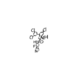 CN1CCCN(c2ccc(NC(=O)c3cc4c(-c5cc(Cl)cc(Cl)c5)cc(Cl)cc4[nH]3)cc2F)CC1